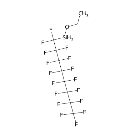 CCO[SiH2]C(F)(F)C(F)(F)C(F)(F)C(F)(F)C(F)(F)C(F)(F)C(F)(F)C(F)(F)F